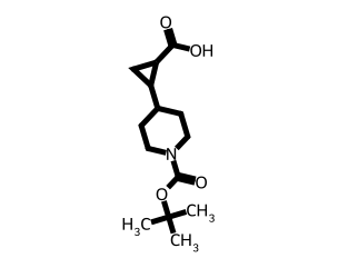 CC(C)(C)OC(=O)N1CCC(C2CC2C(=O)O)CC1